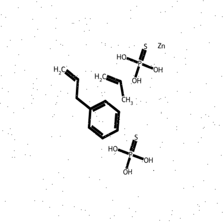 C=CC.C=CCc1ccccc1.OP(O)(O)=S.OP(O)(O)=S.[Zn]